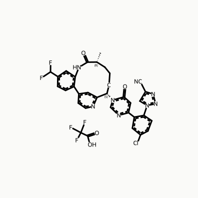 C[C@@H]1CCC[C@H](n2cnc(-c3cc(Cl)ccc3-n3cc(C#N)nn3)cc2=O)c2cc(ccn2)-c2ccc(C(F)F)cc2NC1=O.O=C(O)C(F)(F)F